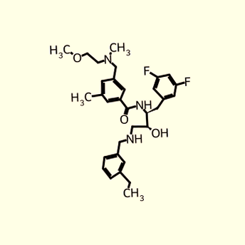 CCc1cccc(CNC[C@H](O)[C@H](Cc2cc(F)cc(F)c2)NC(=O)c2cc(C)cc(CN(C)CCOC)c2)c1